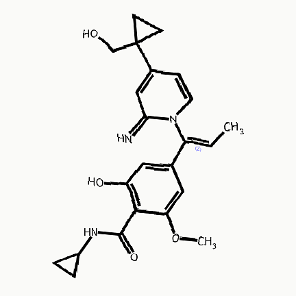 C/C=C(/c1cc(O)c(C(=O)NC2CC2)c(OC)c1)n1ccc(C2(CO)CC2)cc1=N